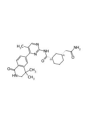 Cc1cnc(NC(=O)[C@H]2CCC[C@@H](CC(N)=O)C2)nc1-c1ccc2c(c1)C(C)(C)CNC2=O